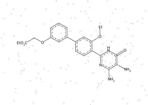 CCOC(=O)COc1cccc(-c2ccc(-c3nc(N)c(N)c(=O)[nH]3)c(OCC)c2)c1